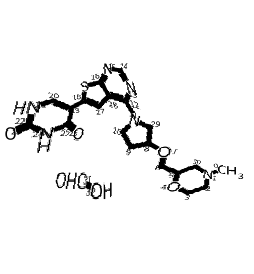 CN1CCOC(COC2CCN(c3ncnc4sc(-c5c[nH]c(=O)[nH]c5=O)cc34)C2)C1.O=CO